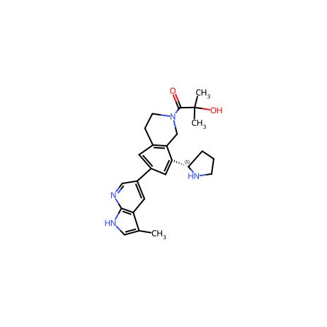 Cc1c[nH]c2ncc(-c3cc4c(c([C@@H]5CCCN5)c3)CN(C(=O)C(C)(C)O)CC4)cc12